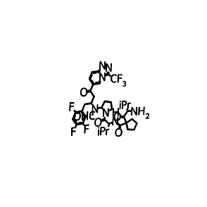 CC(C)C(N)C(=O)C1(C(=O)NC(C(=O)N2CCCC2N(C=O)C(CC(=O)c2ccc3nnc(C(F)(F)F)n3c2)Cc2cc(F)c(F)cc2F)C(C)C)CCCC1